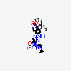 CC(C)n1c(=O)c2cnc(Nc3ccc4c(c3)CCN(C(=O)OC(C)(C)C)C4(C)C)nc2n1-c1ccn(C2CC2)n1